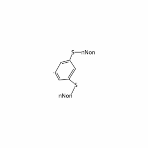 CCCCCCCCCSc1c[c]cc(SCCCCCCCCC)c1